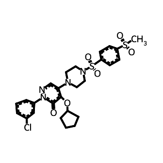 CS(=O)(=O)c1ccc(S(=O)(=O)N2CCN(c3cnn(-c4cccc(Cl)c4)c(=O)c3OC3CCCC3)CC2)cc1